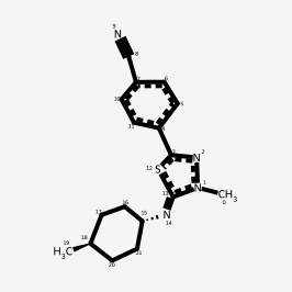 Cn1nc(-c2ccc(C#N)cc2)sc1=N[C@H]1CC[C@H](C)CC1